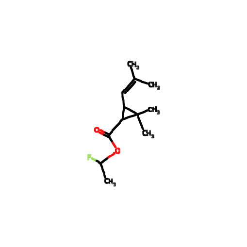 CC(C)=CC1C(C(=O)OC(C)F)C1(C)C